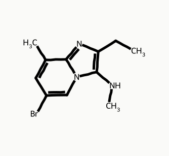 CCc1nc2c(C)cc(Br)cn2c1NC